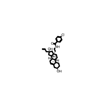 C=CC[C@]1(O)C[C@H]2[C@@H]3CC=C4C[C@@H](O)CC[C@]4(C)[C@H]3CC[C@]2(CCNC(=O)c2ccc(Cl)cc2)C1